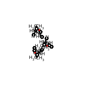 CC1(C)CC(=O)c2c([nH]c(-c3ccncc3)c2Nc2ccc3ccccc3c2)C1.CC1(C)CC(=O)c2c([nH]c(-c3ccncc3)c2Nc2cccc3ccccc23)C1.CC1(C)CC(=O)c2c([nH]c(-c3ccncc3)c2Nc2ccccc2Oc2ccccc2)C1